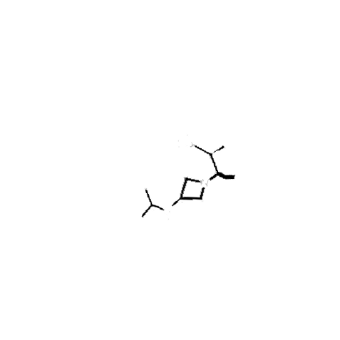 C=C([C@H](C)O)N1CC(OC(C)C)C1